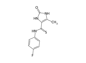 Cc1[nH]c(=O)[nH]c1C(=S)Nc1ccc(F)cc1